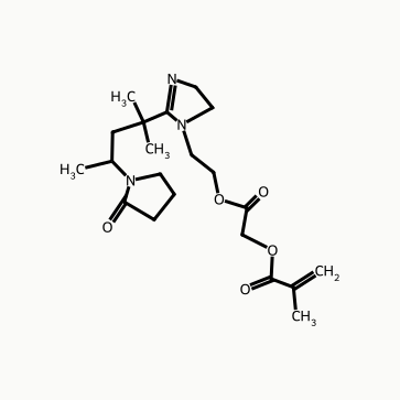 C=C(C)C(=O)OCC(=O)OCCN1CCN=C1C(C)(C)CC(C)N1CCCC1=O